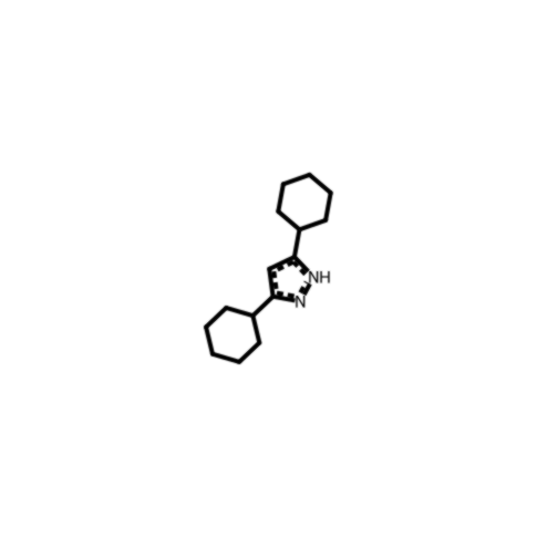 c1c(C2CCCCC2)n[nH]c1C1CCCCC1